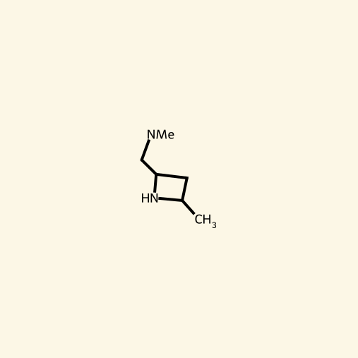 CNCC1CC(C)N1